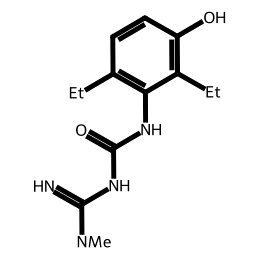 CCc1ccc(O)c(CC)c1NC(=O)NC(=N)NC